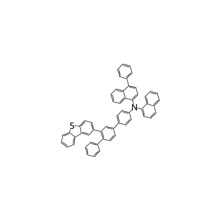 c1ccc(-c2ccc(-c3ccc(N(c4cccc5ccccc45)c4ccc(-c5ccccc5)c5ccccc45)cc3)cc2-c2ccc3sc4ccccc4c3c2)cc1